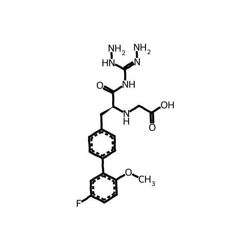 COc1ccc(F)cc1-c1ccc(C[C@H](NCC(=O)O)C(=O)N/C(=N/N)NN)cc1